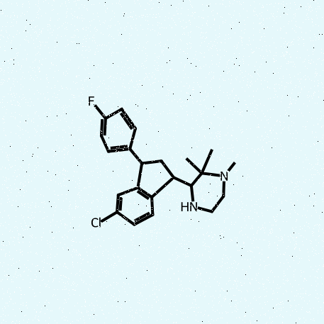 CN1CCNC(C2CC(c3ccc(F)cc3)c3cc(Cl)ccc32)C1(C)C